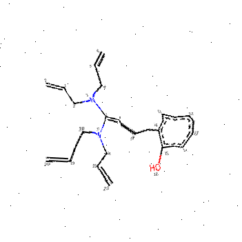 C=CCN(CC=C)C(=CCc1ccccc1O)N(CC=C)CC=C